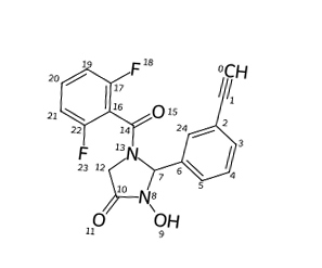 C#Cc1cccc(C2N(O)C(=O)CN2C(=O)c2c(F)cccc2F)c1